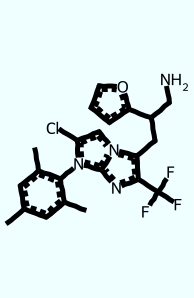 Cc1cc(C)c(-n2c(Cl)cn3c(CC(CN)c4ccco4)c(C(F)(F)F)nc23)c(C)c1